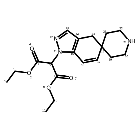 CCOC(=O)C(C(=O)OCC)n1ncc2c1C=CC1(CCNCC1)C2